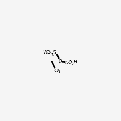 CC#N.O=C(O)OS(=O)(=O)O